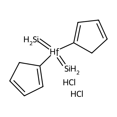 Cl.Cl.[SiH2]=[Hf](=[SiH2])([C]1=CC=CC1)[C]1=CC=CC1